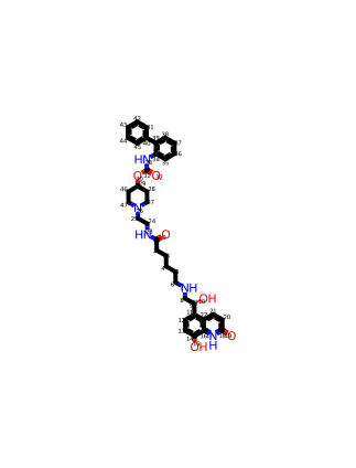 O=C(CCCCCNC[C@H](O)c1ccc(O)c2[nH]c(=O)ccc12)NCCN1CCC(OC(=O)Nc2ccccc2-c2ccccc2)CC1